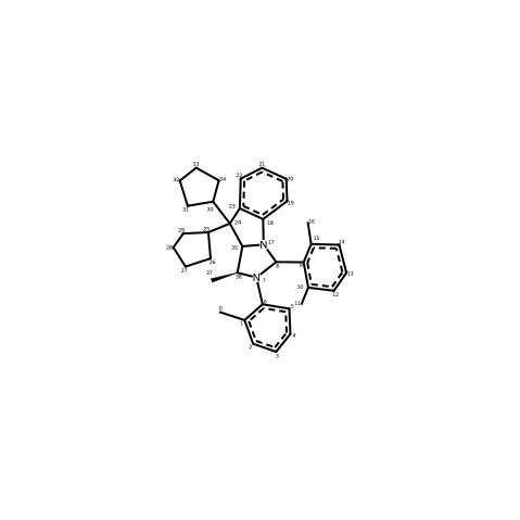 Cc1ccccc1N1C(c2c(C)cccc2C)N2c3ccccc3C(C3CCCC3)(C3CCCC3)C2[C@@H]1C